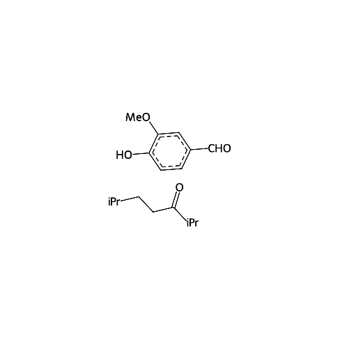 CC(C)CCC(=O)C(C)C.COc1cc(C=O)ccc1O